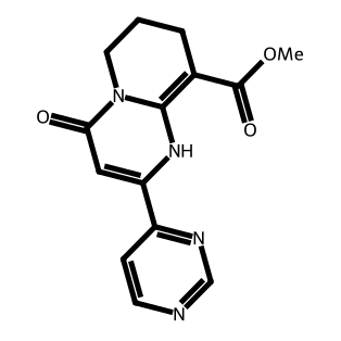 COC(=O)C1=C2NC(c3ccncn3)=CC(=O)N2CCC1